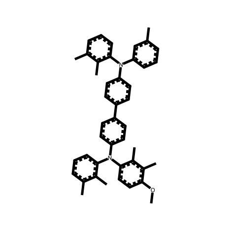 COc1ccc(N(c2ccc(-c3ccc(N(c4cccc(C)c4)c4cccc(C)c4C)cc3)cc2)c2cccc(C)c2C)c(C)c1C